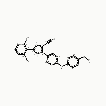 COc1ccc(Oc2ncc(-c3[nH]c(-c4c(F)cccc4Cl)nc3C#N)cn2)cc1